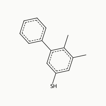 Cc1cc(S)cc(-c2ccccc2)c1C